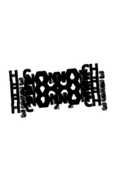 CN(C)c1ccc(N)c2c(C3C(O)C(c4c5c(N)ccc(N(C)C)c5c(N(C)C)c5c(N(C)C)ccc(N)c45)C3O)c3c(N)ccc(N(C)C)c3c(N(C)C)c12